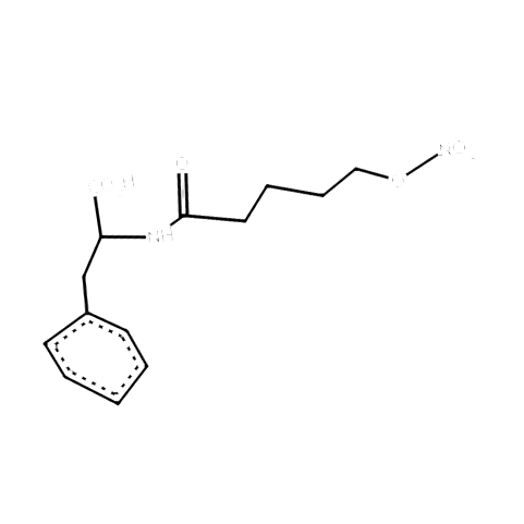 O=C(CCCCO[N+](=O)[O-])NC(Cc1ccccc1)C(=O)O